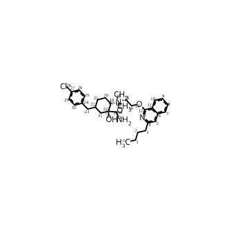 CCCCc1cc2ccccc2c(OCC[N+](C)(C)[C@H]2CCC(Cc3ccc(Cl)cc3)C[C@@]2(O)C(N)=O)n1